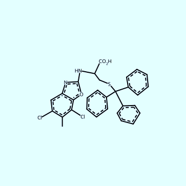 Cc1c(Cl)cc2nc(NC(CSC(c3ccccc3)(c3ccccc3)c3ccccc3)C(=O)O)oc2c1Cl